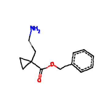 NCCC1(C(=O)OCc2ccccc2)CC1